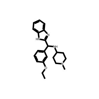 CCOc1cccc(C(NC2CCN(C)CC2)c2nc3ccccc3[nH]2)c1